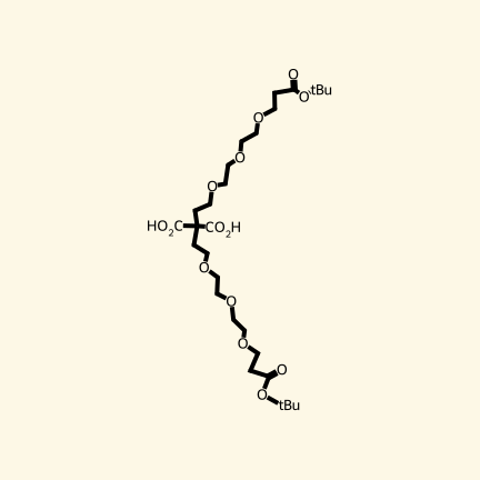 CC(C)(C)OC(=O)CCOCCOCCOCCC(CCOCCOCCOCCC(=O)OC(C)(C)C)(C(=O)O)C(=O)O